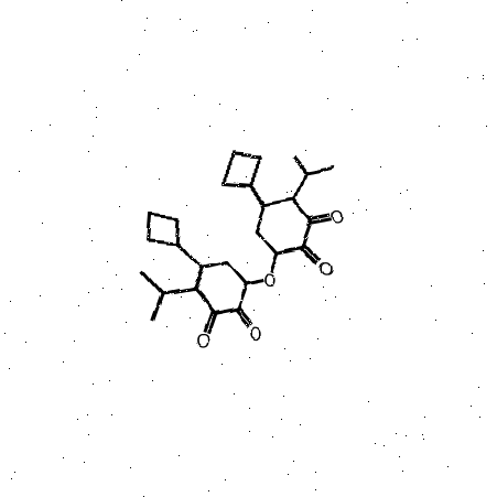 CC(C)C1C(=O)C(=O)C(OC2CC(C3CCC3)C(C(C)C)C(=O)C2=O)CC1C1CCC1